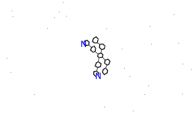 c1ccc(-c2cccc(-c3cc(-c4cccc(-c5ccccc5)c4)c(-c4ccc(-c5cccnc5)cc4)cc3-c3ccc(-c4cccnc4)cc3)c2)cc1